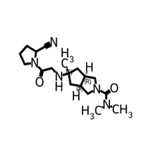 CN(C)C(=O)N1C[C@@H]2C[C@@](C)(NCC(=O)N3CCCC3C#N)C[C@@H]2C1